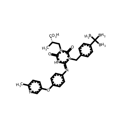 BC(B)(B)c1ccc(Cn2c(=O)n(C[C@H](C)C(=O)O)c(=O)[nH]/c2=N\c2ccc(Oc3ccc(C)nc3)cc2)cc1